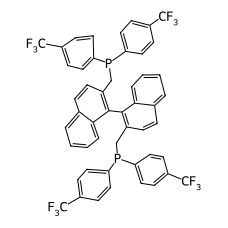 FC(F)(F)c1ccc(P(Cc2ccc3ccccc3c2-c2c(CP(c3ccc(C(F)(F)F)cc3)c3ccc(C(F)(F)F)cc3)ccc3ccccc23)c2ccc(C(F)(F)F)cc2)cc1